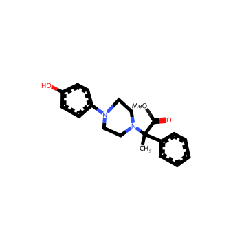 COC(=O)C(C)(c1ccccc1)N1CCN(c2ccc(O)cc2)CC1